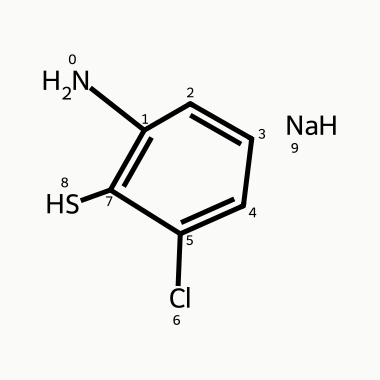 Nc1cccc(Cl)c1S.[NaH]